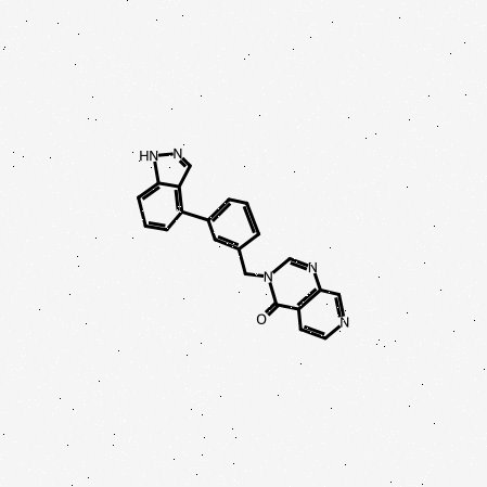 O=c1c2ccncc2ncn1Cc1cccc(-c2cccc3[nH]ncc23)c1